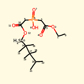 CCOC(=O)CP(=O)(O)CC(=O)O[SiH2]C(C)(C)C(C)(C)C(C)C